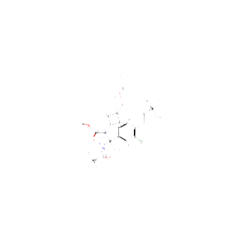 COCOCC1CC(C(C(=O)OC)C(C)(N[S+]([O-])C(C)(C)C)c2ccc(CCC(C)(C)C)c(Cl)c2)C1